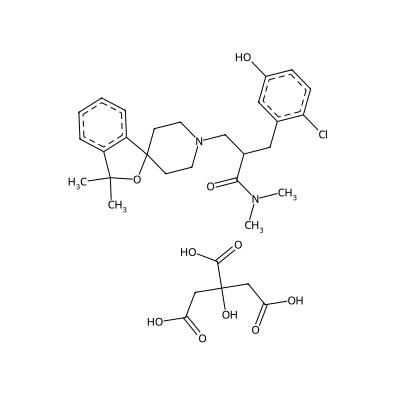 CN(C)C(=O)C(Cc1cc(O)ccc1Cl)CN1CCC2(CC1)OC(C)(C)c1ccccc12.O=C(O)CC(O)(CC(=O)O)C(=O)O